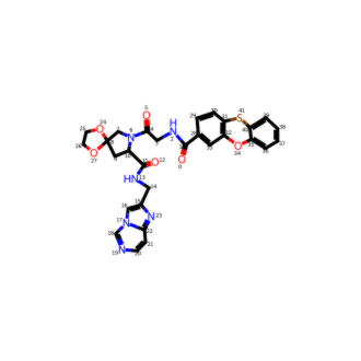 O=C(NCC(=O)N1CC2(CC1C(=O)NCc1cn3cnccc3n1)OCCO2)c1ccc2c(c1)Oc1ccccc1S2